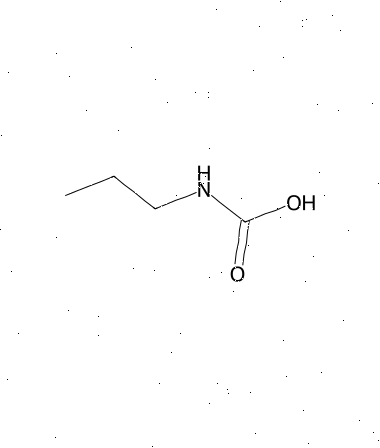 CCCNC(=O)O